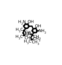 CC(C)(C)CC(C)(C)c1cc(N)c(O)c(Cc2cc(C(C)(C)CC(C)(C)C)cc(N)c2O)c1